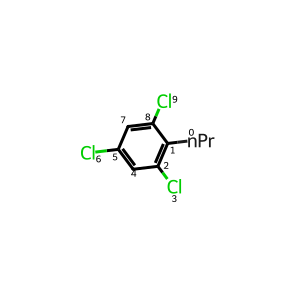 CCCc1c(Cl)cc(Cl)cc1Cl